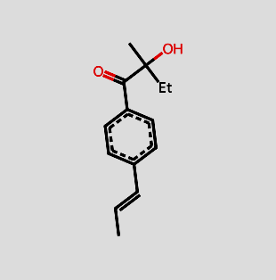 CC=Cc1ccc(C(=O)C(C)(O)CC)cc1